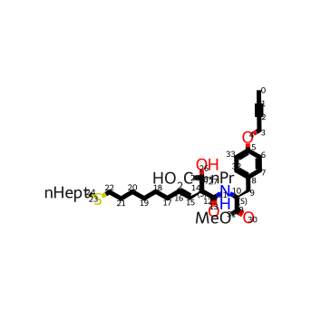 CC#CCOc1ccc(C[C@H](NC(=O)[C@@H](C=CCCCCCCSCCCCCCC)[C@@](O)(CCC)C(=O)O)C(=O)OC)cc1